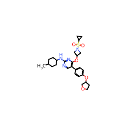 CC1CCC(Nc2ncc(-c3ccc(OC4CCOC4)cc3)c(OC3CN(S(=O)(=O)C4CC4)C3)n2)CC1